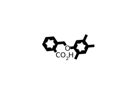 Cc1cc(C)c(OCc2ccccc2C(=O)O)cc1C